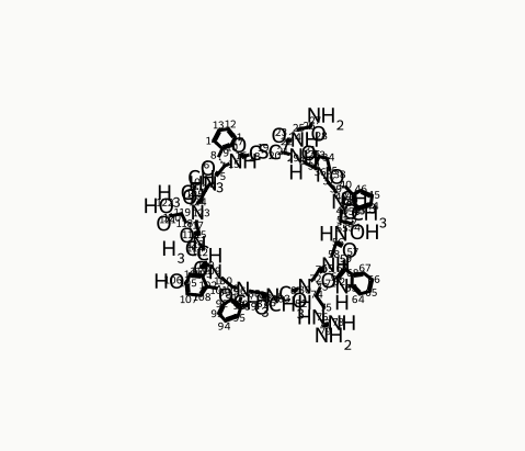 CC(C)[C@@H]1NC(=O)[C@H](Cc2ccccc2)NC(=O)CSC[C@@H](C(=O)NCC(N)=O)NC(=O)[C@@H]2CCCN2C(=O)[C@H](Cc2ccccc2)N(C)C(=O)[C@H]([C@@H](C)O)NC(=O)[C@H](Cc2c[nH]c3ccccc23)NC(=O)[C@H](CCCNC(=N)N)NC(=O)CN(C)C(=O)[C@H](Cc2ccccc2)N(C)C(=O)[C@H](Cc2ccc(O)cc2)NC(=O)CN(C)C(=O)[C@H](CCC(=O)O)NC1=O